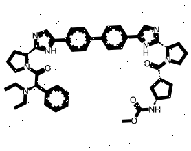 CCN(CC)[C@@H](C(=O)N1CCC[C@H]1c1ncc(-c2ccc(-c3ccc(-c4cnc([C@@H]5CCCN5C(=O)[C@@H]5CC[C@H](NC(=O)OC)C5)[nH]4)cc3)cc2)[nH]1)c1ccccc1